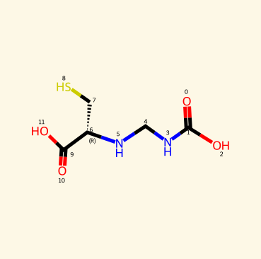 O=C(O)NCN[C@@H](CS)C(=O)O